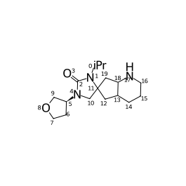 CC(C)N1C(=O)N([C@H]2CCOC2)CC12CC1CCCNC1C2